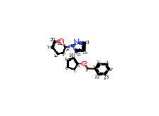 c1ccc(CO[C@H]2CCC[C@@H]2c2ccnn2C2CCCCO2)cc1